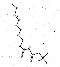 CCCCCCCCCC(=O)OC(=O)CC(C)(C)C